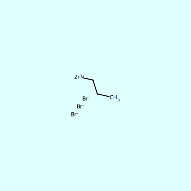 CC[CH2][Zr+3].[Br-].[Br-].[Br-]